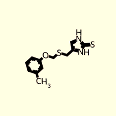 Cc1cccc(OCSCc2c[nH]c(=S)[nH]2)c1